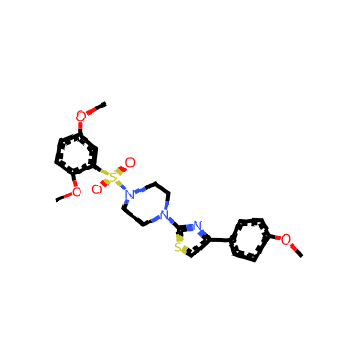 COc1ccc(-c2csc(N3CCN(S(=O)(=O)c4cc(OC)ccc4OC)CC3)n2)cc1